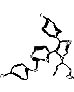 CCC(CO)n1cnc(-c2ccc(F)cc2)c1-c1ccnc(Oc2ccc(Cl)cc2)n1